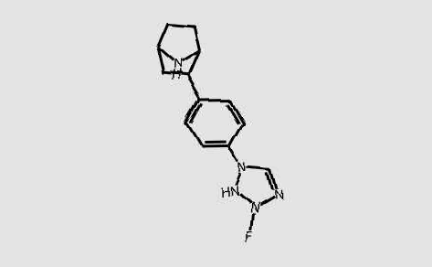 FN1N=CN(c2ccc(C3CC4CCC3N4)cc2)N1